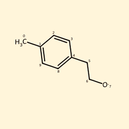 Cc1ccc(CC[O])cc1